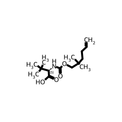 C=CCCC(C)(C)COC(=O)N[C@H](C(=O)O)C(C)(C)C